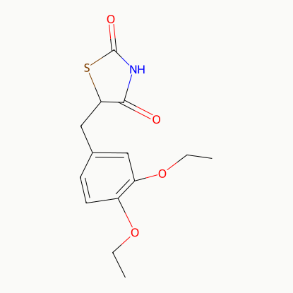 CCOc1ccc(CC2SC(=O)NC2=O)cc1OCC